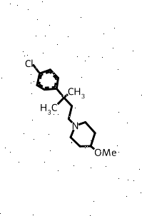 COC1CCN(CCC(C)(C)c2ccc(Cl)cc2)CC1